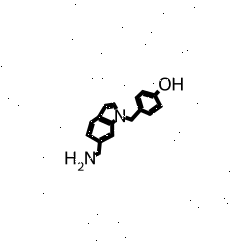 NCc1ccc2ccn(Cc3ccc(O)cc3)c2c1